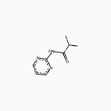 CC(C)C(=O)Nc1nc[c]cn1